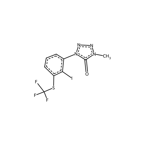 Cn1nnn(-c2cccc(SC(F)(F)F)c2I)c1=O